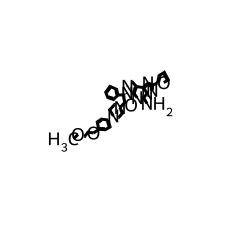 COCCOc1ccc(N2CCN(C(=O)[C@H](c3ccccc3)n3ncc4c3nc(N)n3nc(-c5ccco5)nc43)CC2)cc1